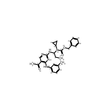 CCC(Nc1ncc(C(N)=O)c(Nc2cccc(C)c2)n1)N(C(=O)OCc1ccccc1)C1CC1